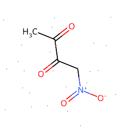 CC(=O)C(=O)C[N+](=O)[O-]